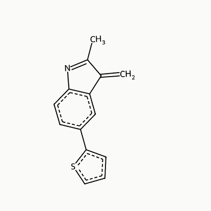 C=C1C(C)=Nc2ccc(-c3cccs3)cc21